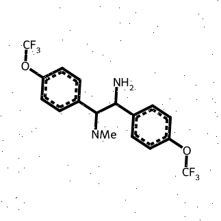 CNC(c1ccc(OC(F)(F)F)cc1)C(N)c1ccc(OC(F)(F)F)cc1